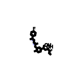 CC[C@H](C)C(O)CC(CO)c1ccc(C)c(C/C(C)=C/C=C(\C)c2ccc(F)cc2)c1